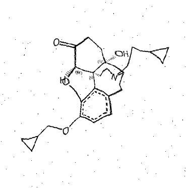 O=C1CC[C@@]2(O)C3Cc4ccc(OCC5CC5)c5c4[C@@]2(CCN3CC2CC2)[C@H]1O5